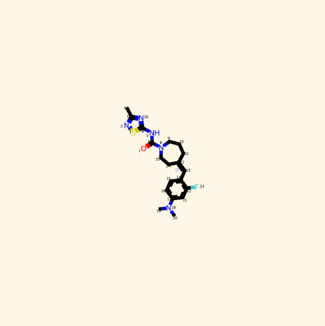 Cc1nsc(NC(=O)N2CCC/C(=C/c3ccc(N(C)C)cc3F)CC2)n1